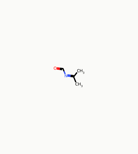 CC(C)=NC=O